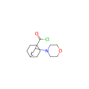 O=C(Cl)C12CCC(CC1)CC2N1CCOCC1